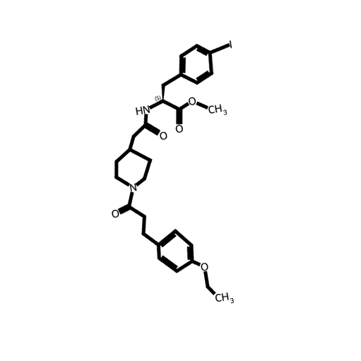 CCOc1ccc(CCC(=O)N2CCC(CC(=O)N[C@@H](Cc3ccc(I)cc3)C(=O)OC)CC2)cc1